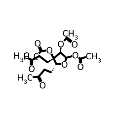 CC(=O)CC[C@H]1OC(OC(C)=O)[C@H](OC(C)=O)[C@@]1(CCC(C)=O)OC(C)=O